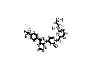 O=c1cc(-n2nc(-c3ccc(C(F)(F)F)cc3)c3nccnc32)ccn1Cc1ccnc(NCCO)n1